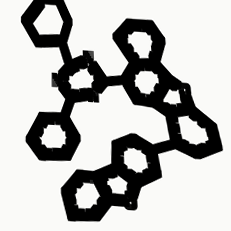 C1=CCCC(c2nc(-c3ccccc3)nc(-c3cc4c(oc5cccc(-c6ccc7c(c6)oc6ccccc67)c54)c4ccccc34)n2)=C1